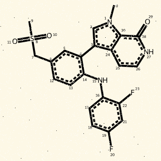 Cn1cc(-c2cc(CS(C)(=O)=O)ccc2Nc2ccc(F)cc2F)c2cc[nH]c(=O)c21